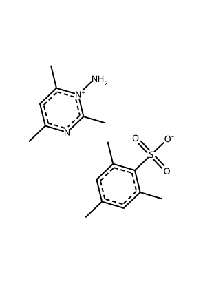 Cc1cc(C)[n+](N)c(C)n1.Cc1cc(C)c(S(=O)(=O)[O-])c(C)c1